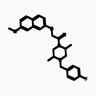 COc1ccc2ccc(OCC(=O)N3CC(C)N(Cc4ccc(F)cc4)CC3C)cc2c1